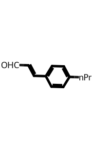 CCCc1ccc(/C=C/C=O)cc1